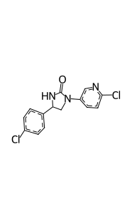 O=C1NC(c2ccc(Cl)cc2)CN1c1ccc(Cl)nc1